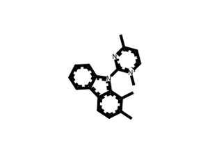 Cc1cc[n+](C)c(-n2c3ccccc3c3ccc(C)c(C)c32)n1